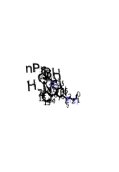 C/C=C\C=C(/C)c1cc(-c2ccccc2)c(/C(N)=C(\C)C(=O)BCCC)c(C)n1